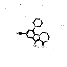 C=C1NCCCn2c1c(C)c1cc(C#N)cc(N3CCOCC3)c12